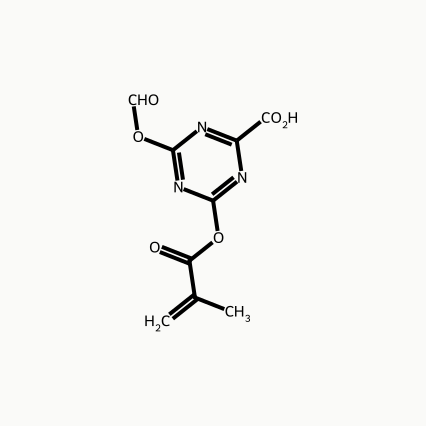 C=C(C)C(=O)Oc1nc(OC=O)nc(C(=O)O)n1